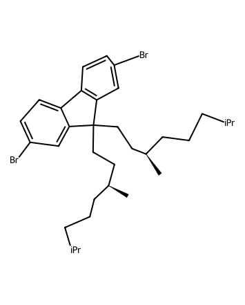 CC(C)CCC[C@@H](C)CCC1(CC[C@@H](C)CCCC(C)C)c2cc(Br)ccc2-c2ccc(Br)cc21